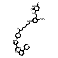 O=Cc1ccc(NCCCCCC(=O)N2CCC(n3cc(-c4cnc5cccc(C6CCOCC6)c5n4)cn3)CC2)cc1CNC1CCC(=O)NC1=O